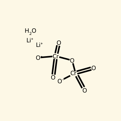 O.[Li+].[Li+].[O]=[Cr](=[O])([O-])[O][Cr](=[O])(=[O])[O-]